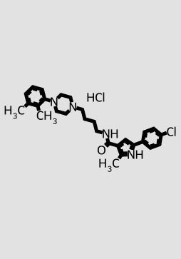 Cc1cccc(N2CCN(CCCCNC(=O)c3cc(-c4ccc(Cl)cc4)[nH]c3C)CC2)c1C.Cl